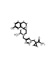 C[C@H]1C[C@@]2(CCN1Cc1cn(CC3(C(N)=O)CC3)nn1)OCCc1ccc(Cl)cc12